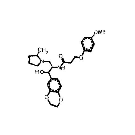 COc1ccc(OCCC(=O)N[C@H](CN2CCC[C@H]2C)C(O)c2ccc3c(c2)OCCO3)cc1